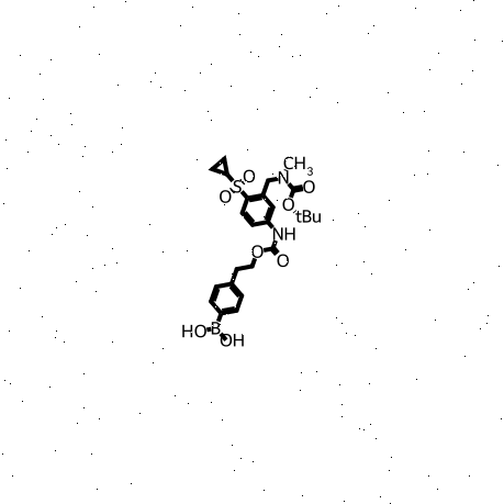 CN(Cc1cc(NC(=O)OCCc2ccc(B(O)O)cc2)ccc1S(=O)(=O)C1CC1)C(=O)OC(C)(C)C